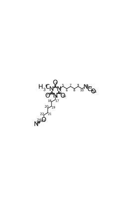 Cn1c(=O)n(CCCCCCN=C=O)c(=O)n(CCCCCCOC#N)c1=O